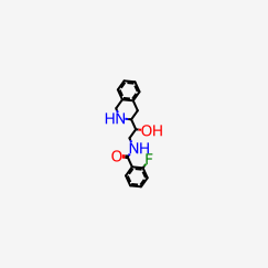 O=C(NCC(O)C1Cc2ccccc2CN1)c1ccccc1F